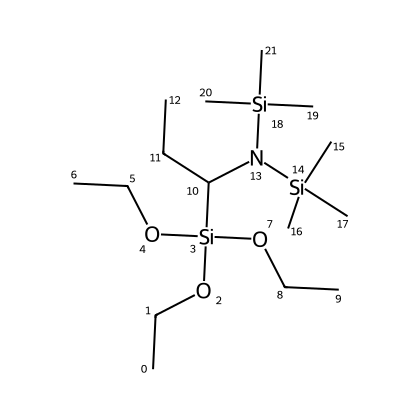 CCO[Si](OCC)(OCC)C(CC)N([Si](C)(C)C)[Si](C)(C)C